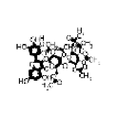 CC(=O)OC[C@H]1O[C@@H](O[C@H]2[C@H](OC(C)=O)[C@@H](OC(C)=O)[C@H](Oc3c(-c4cc(O)c(O)c(O)c4)oc4cc(O)cc(O)c4c3=O)O[C@@H]2COC(C)=O)[C@H](OC(C)=O)[C@@H](OC(C)=O)[C@H]1OC(C)=O